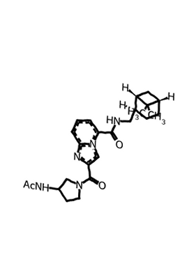 CC(=O)NC1CCN(C(=O)c2cn3c(C(=O)NC[C@@H]4CC[C@H]5C[C@@H]4C5(C)C)cccc3n2)C1